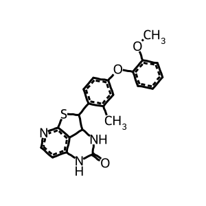 COc1ccccc1Oc1ccc(C2Sc3nccc4c3C2NC(=O)N4)c(C)c1